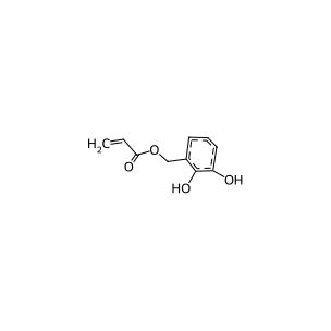 C=CC(=O)OCc1cccc(O)c1O